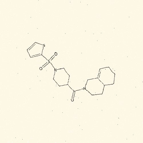 O=C(C1CCN(S(=O)(=O)c2cccs2)CC1)N1CCC2CCCC=C2C1